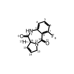 O=C1Nc2cccc(F)c2C(=O)N2CC=C[C@@H]12